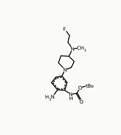 CN(CCF)C1CCN(c2ccc(N)c(NC(=O)OC(C)(C)C)c2)CC1